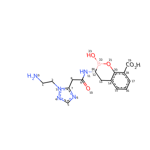 NCCn1ncnc1CC(=O)N[C@H]1Cc2cccc(C(=O)O)c2OB1O